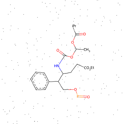 CCOC(=O)CCC(NC(=O)OC(C)OC(=O)C(C)C)C(COP=O)c1ccccc1